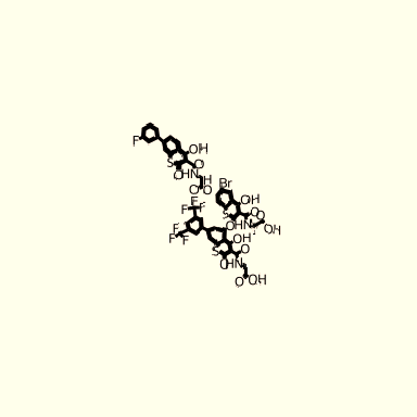 C[C@H](NC(=O)c1c(O)c2cc(Br)ccc2sc1=O)C(=O)O.O=C(O)CNC(=O)c1c(O)c2ccc(-c3cc(C(F)(F)F)cc(C(F)(F)F)c3)cc2sc1=O.O=C(O)CNC(=O)c1c(O)c2ccc(-c3cccc(F)c3)cc2sc1=O